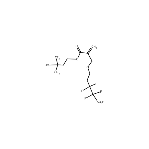 C=C(COCCC(F)(F)C(F)(F)S(=O)(=O)O)C(=O)OCCC(C)(O)C(F)(F)F